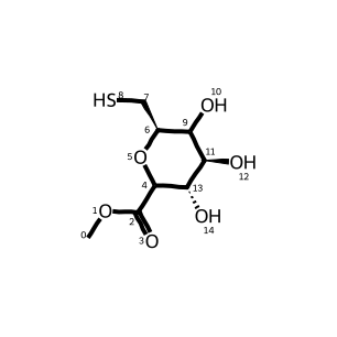 COC(=O)C1O[C@@H](CS)C(O)[C@@H](O)[C@@H]1O